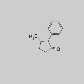 CC1CCC(=O)C1c1ccccc1